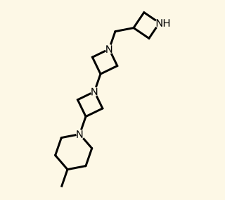 CC1CCN(C2CN(C3CN(CC4CNC4)C3)C2)CC1